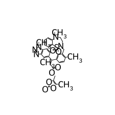 Cc1ccc(C(CC(=O)OCc2oc(=O)oc2C)c2ccc3c(nnn3C)c2C)cc1CN1CCN(C)c2ccccc2S1(=O)=O